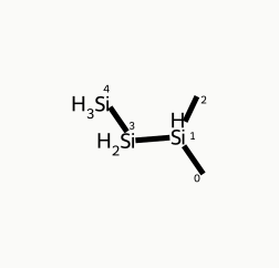 C[SiH](C)[SiH2][SiH3]